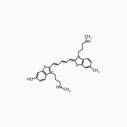 CNCCCN1/C(=C/C=C/C=C/c2sc3cc(O)ccc3[n+]2CCCNC)Sc2cc(C)ccc21